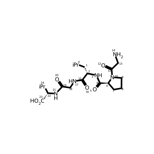 CC(C)C[C@H](NC(=O)[C@@H]1CCCN1C(=O)CN)C(=O)NCC(=O)N[C@H](C(=O)O)C(C)C